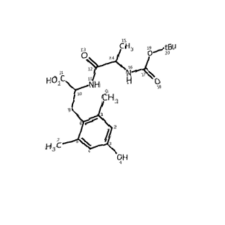 Cc1cc(O)cc(C)c1CC(NC(=O)C(C)NC(=O)OC(C)(C)C)C(=O)O